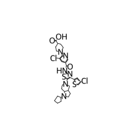 O=C(Nc1nc(-c2cc(Cl)cs2)c(N2CCC3C(CCN3C3CCCC3)C2)s1)c1cnc(N2CCC(C(=O)O)CC2)c(Cl)c1